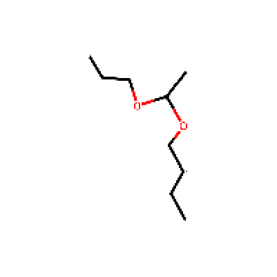 CC[CH]COC(C)OCCC